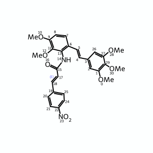 COc1cc(C=Cc2ccc(OC)c(OC)c2NC(=O)/C=C/c2ccc([N+](=O)[O-])cc2)cc(OC)c1OC